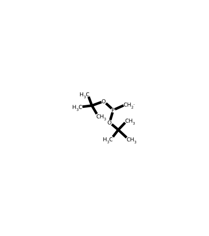 [CH2]P(OC(C)(C)C)OC(C)(C)C